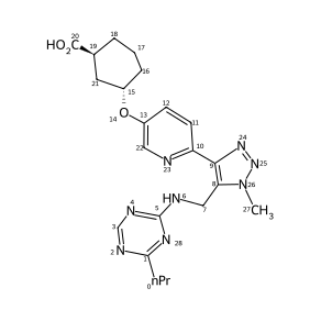 CCCc1ncnc(NCc2c(-c3ccc(O[C@H]4CCC[C@H](C(=O)O)C4)cn3)nnn2C)n1